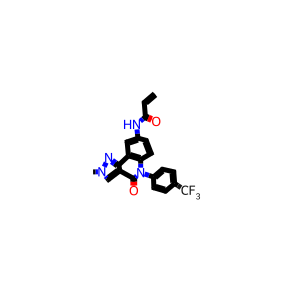 C=CC(=O)Nc1ccc2c(c1)c1nn(C)cc1c(=O)n2-c1ccc(C(F)(F)F)cc1